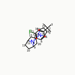 CC(C)(C)c1ccc(N2C3CCC2CC(N2CCCC2)C3)c(F)c1